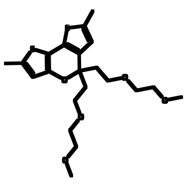 COCCOCCC1(CCOCCOC)Oc2cc(C)sc2-c2sc(C)cc21